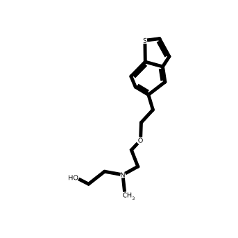 CN(CCO)CCOCCc1ccc2sccc2c1